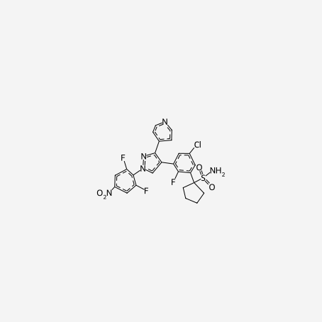 NS(=O)(=O)C1(c2cc(Cl)cc(-c3cn(-c4c(F)cc([N+](=O)[O-])cc4F)nc3-c3ccncc3)c2F)CCCC1